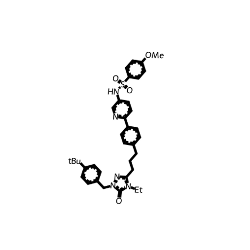 CCn1c(CCCc2ccc(-c3ccc(NS(=O)(=O)c4ccc(OC)cc4)cn3)cc2)nn(Cc2ccc(C(C)(C)C)cc2)c1=O